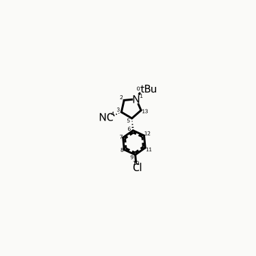 CC(C)(C)N1C[C@@H](C#N)[C@@H](c2ccc(Cl)cc2)C1